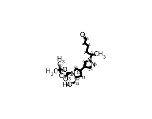 CC(CCCC=O)n1cc(C2C[C@H](CO)N(C(=O)OC(C)(C)C)C2)cn1